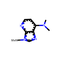 CNn1cnc2c(N(C)C)ccnc21